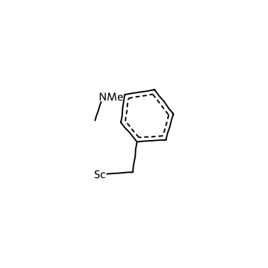 CNC.[Sc][CH2]c1ccccc1